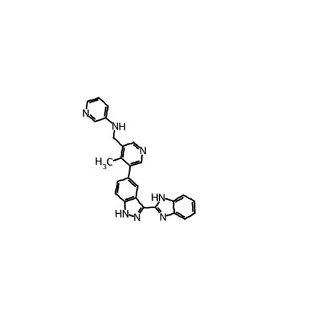 Cc1c(CNc2cccnc2)cncc1-c1ccc2[nH]nc(-c3nc4ccccc4[nH]3)c2c1